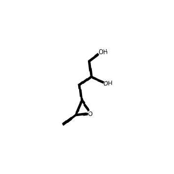 CC1OC1CC(O)CO